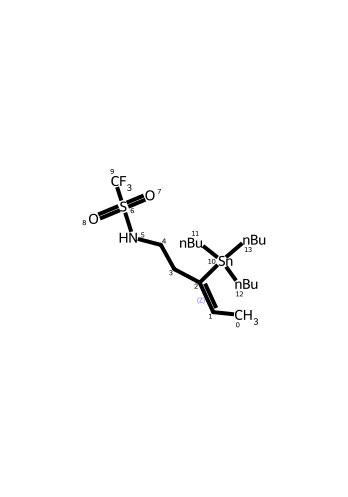 C/C=[C](/CCNS(=O)(=O)C(F)(F)F)[Sn]([CH2]CCC)([CH2]CCC)[CH2]CCC